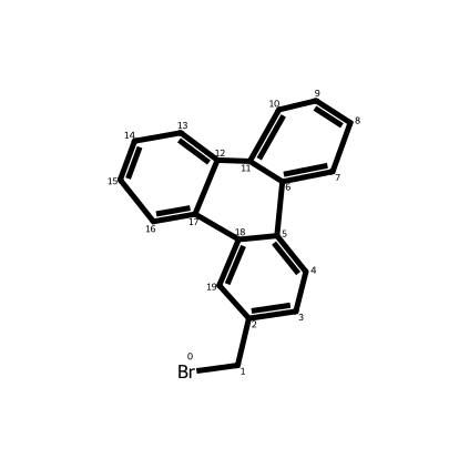 BrCc1ccc2c3ccccc3c3ccccc3c2c1